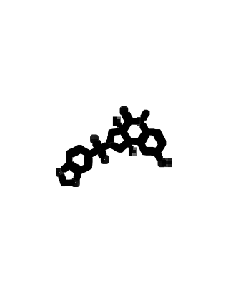 CN1C(=O)[C@@H]2CN(S(=O)(=O)c3ccc4c(c3)OCO4)C[C@@H]2c2cc(O)ccc21